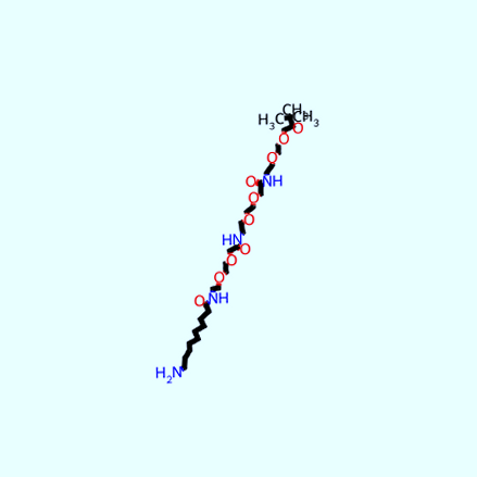 CC(C)(C)C(=O)COCCOCCNC(=O)COCCOCCNC(=O)COCCOCCNC(=O)CCCCCCCCCN